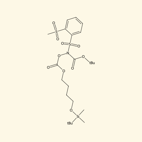 CC(C)(C)OC(=O)N(OC(=O)OCCCCO[Si](C)(C)C(C)(C)C)S(=O)(=O)c1ccccc1S(C)(=O)=O